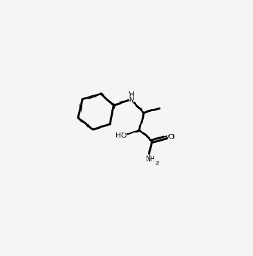 CC(NC1CCCCC1)C(O)C(N)=O